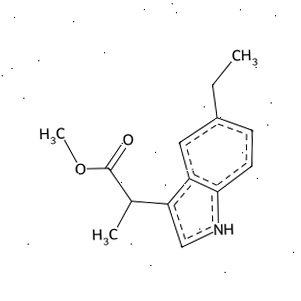 CCc1ccc2[nH]cc(C(C)C(=O)OC)c2c1